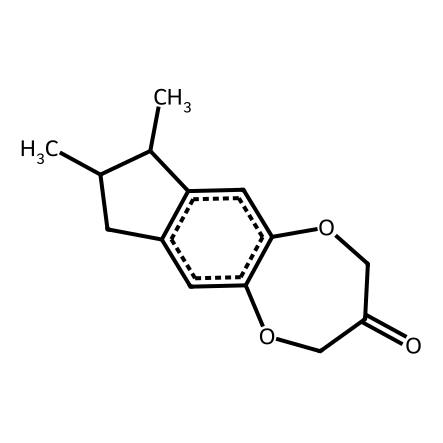 CC1Cc2cc3c(cc2C1C)OCC(=O)CO3